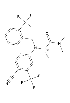 C[C@@H](C(=O)N(C)C)N(Cc1ccccc1C(F)(F)F)c1ccc(C#N)c(C(F)(F)F)c1